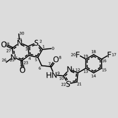 Cc1sc2c(c1CC(=O)Nc1nc(-c3ccc(F)cc3F)cs1)c(=O)n(C)c(=O)n2C